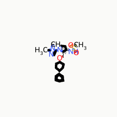 Cc1ncc(N2CC[C@H](NS(C)(=O)=O)[C@@H]2CO[C@H]2CC[C@@H](c3ccccc3)CC2)n1C